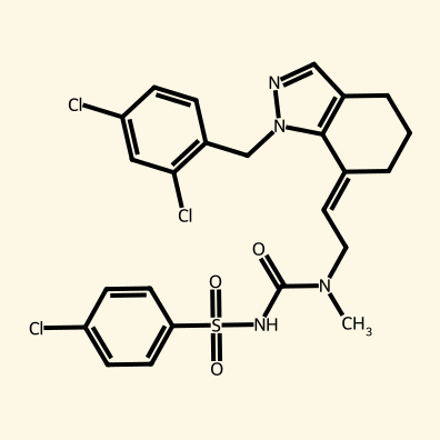 CN(CC=C1CCCc2cnn(Cc3ccc(Cl)cc3Cl)c21)C(=O)NS(=O)(=O)c1ccc(Cl)cc1